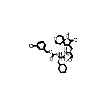 O=C[C@H](CC1CC2(CCOCC2)NC1=O)NC(=O)[C@H](CC1CCCCC1)NC(=O)OCc1cccc(Cl)c1